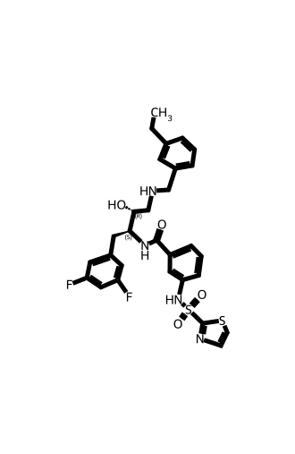 CCc1cccc(CNC[C@@H](O)[C@H](Cc2cc(F)cc(F)c2)NC(=O)c2cccc(NS(=O)(=O)c3nccs3)c2)c1